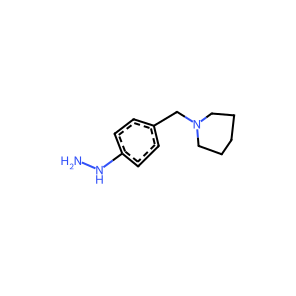 NNc1ccc(CN2CCCCC2)cc1